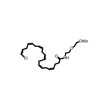 CC/C=C\C/C=C\C/C=C\C/C=C\C/C=C\C/C=C\CCC(=O)NCCOCCOC